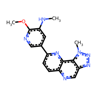 CNc1cc(-c2ccc3ncc4nnn(C)c4c3n2)cnc1OC